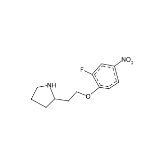 O=[N+]([O-])c1ccc(OCCC2CCCN2)c(F)c1